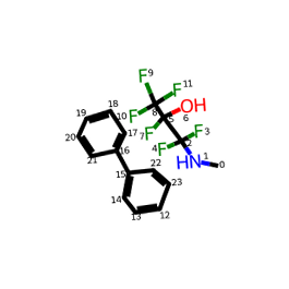 CNC(F)(F)C(O)(F)C(F)(F)F.c1ccc(-c2ccccc2)cc1